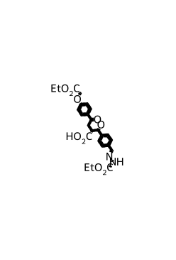 CCOC(=O)COc1ccc(C(=O)CC(C(=O)O)C(=O)c2ccc(C=NNC(=O)OCC)cc2)cc1